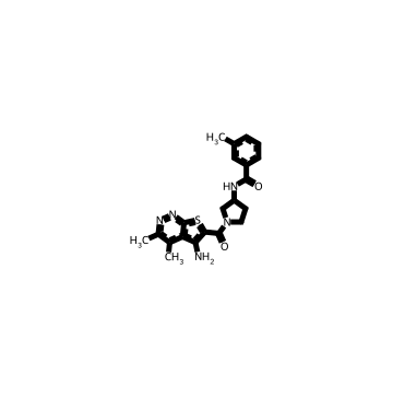 Cc1cccc(C(=O)NC2CCN(C(=O)c3sc4nnc(C)c(C)c4c3N)C2)c1